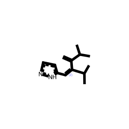 C=C(/C(=C\c1ccn[nH]1)C(C)C)C(C)C